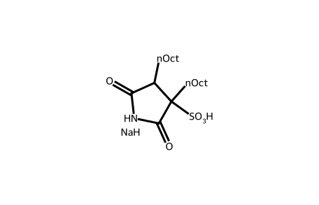 CCCCCCCCC1C(=O)NC(=O)C1(CCCCCCCC)S(=O)(=O)O.[NaH]